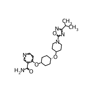 CC(C)c1noc(N2CCC(O[C@H]3CC[C@H](Oc4ccncc4C(N)=O)CC3)CC2)n1